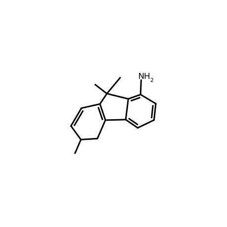 CC1C=CC2=C(C1)c1cccc(N)c1C2(C)C